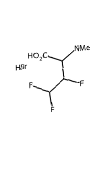 Br.CNC(C(=O)O)C(F)C(F)F